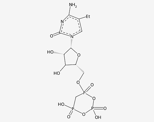 CCc1cn([C@@H]2O[C@H](COP3(=O)CP(=O)(O)OP(=O)(O)O3)C(O)[C@@H]2O)c(=O)nc1N